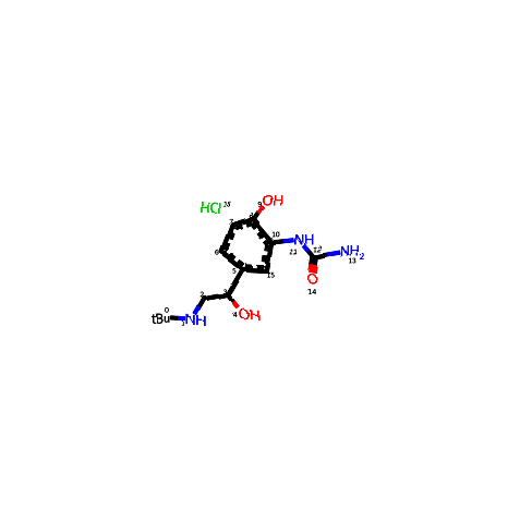 CC(C)(C)NCC(O)c1ccc(O)c(NC(N)=O)c1.Cl